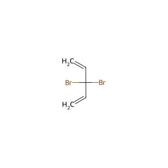 C=CC(Br)(Br)C=C